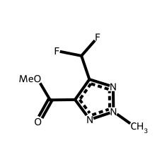 COC(=O)c1nn(C)nc1C(F)F